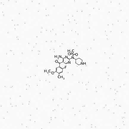 COc1cc(C(=O)c2cnc(N(C3CCNCC3)S(C)(=O)=O)nc2N)c(F)cc1C